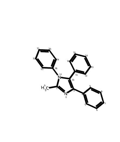 Cc1nc(-c2ccccc2)c(-c2ccccc2)n1-c1ccccc1